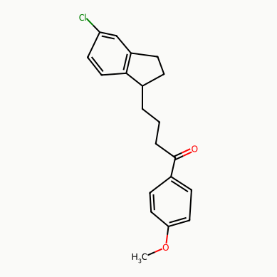 COc1ccc(C(=O)CCCC2CCc3cc(Cl)ccc32)cc1